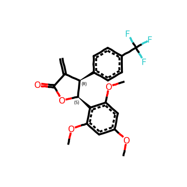 C=C1C(=O)O[C@H](c2c(OC)cc(OC)cc2OC)[C@@H]1c1ccc(C(F)(F)F)cc1